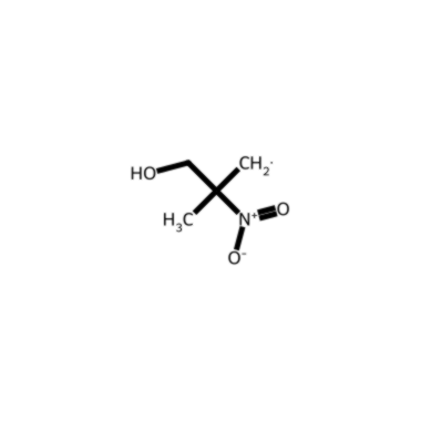 [CH2]C(C)(CO)[N+](=O)[O-]